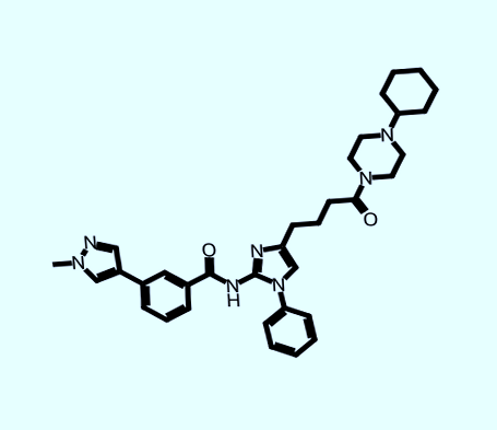 Cn1cc(-c2cccc(C(=O)Nc3nc(CCCC(=O)N4CCN(C5CCCCC5)CC4)cn3-c3ccccc3)c2)cn1